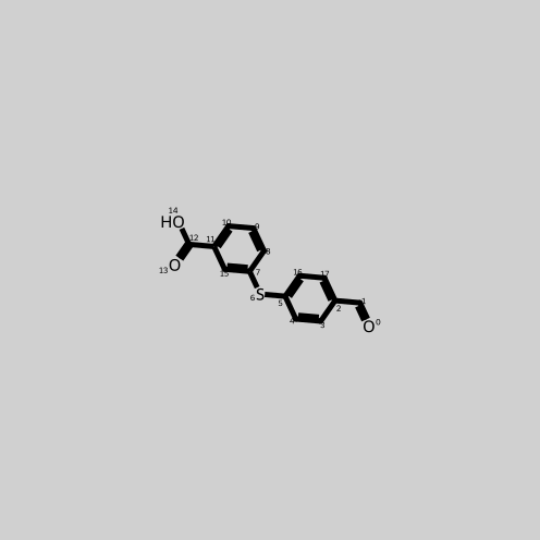 O=Cc1ccc(Sc2cccc(C(=O)O)c2)cc1